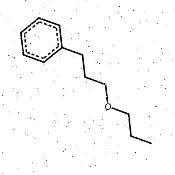 CCCOCCCc1[c]cccc1